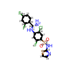 N[C@H](Nc1cc(F)c(S(=O)(=O)Nc2nccs2)cc1Cl)c1ccc(F)cc1F